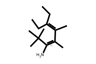 CCC(CC)=C(C)/C(C)=C(/N)C(C)(C)C